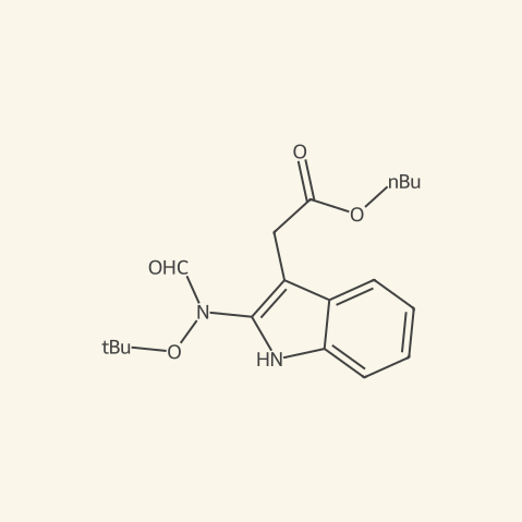 CCCCOC(=O)Cc1c(N(C=O)OC(C)(C)C)[nH]c2ccccc12